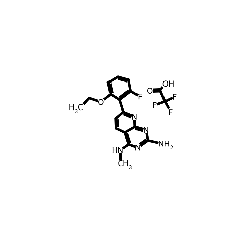 CCOc1cccc(F)c1-c1ccc2c(NC)nc(N)nc2n1.O=C(O)C(F)(F)F